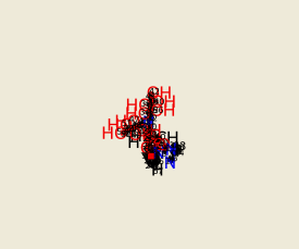 CC(C)(C)OC(=O)N(CC(=O)N1CCC[C@H]1C#N)C12CC3C[C@H](CC(OCCOCCN(C[C@H](O)[C@@H](O)[C@H](O)[C@H](O)CO)C[C@H](O)[C@@H](O)[C@H](O)[C@H](O)CO)(C3)C1)C2